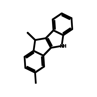 Cc1ccc2c(c1)-c1[nH]c3ccccc3c1C2C